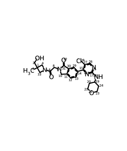 CC1(CO)CN(C(=O)CN2Cc3ccc(-c4nc(NC5CCOCC5)ncc4Cl)cc3C2=O)C1